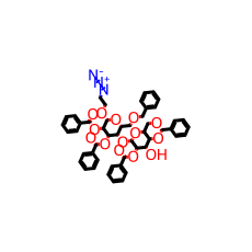 [N-]=[N+]=NCCOC1OC(COCc2ccccc2)C(OC2OC3COC(c4ccccc4)OC3C(O)C2OC(=O)c2ccccc2)C(OC(=O)c2ccccc2)C1OC(=O)c1ccccc1